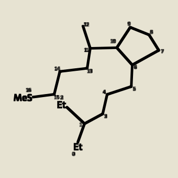 CCC(CC)CCCC1CCCC1C(C)CCCSC